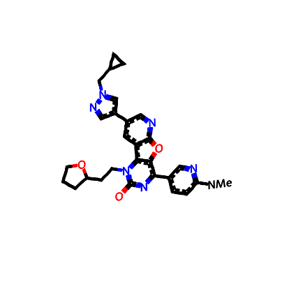 CNc1ccc(-c2nc(=O)n(CCC3CCCO3)c3c2oc2ncc(-c4cnn(CC5CC5)c4)cc23)cn1